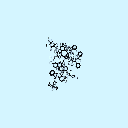 CC(=O)O[C@H]1C(=O)[C@@]2(C)[C@H]([C@H](OC(=O)c3ccccc3)[C@]3(O)C[C@H](OC(=O)[C@H](O)[C@@H](NC(=O)c4ccccc4)c4ccccc4)C(C)=C1C3(C)C)[C@]1(OC(C)=O)CO[C@@H]1C[C@@H]2O.CCC(=O)O[C@H]1CC[C@H]2[C@@H]3CCC4=CC(=O)CC[C@]4(C)[C@H]3CC[C@]12C.Nc1nc2nc[nH]c2c(=S)[nH]1.O=C1CCC(N2C(=O)c3ccccc3C2=O)C(=O)N1.S=P(N1CC1)(N1CC1)N1CC1